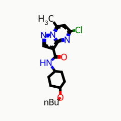 CCCCOC1CCC(NC(=O)c2cnn3c(C)cc(Cl)nc23)CC1